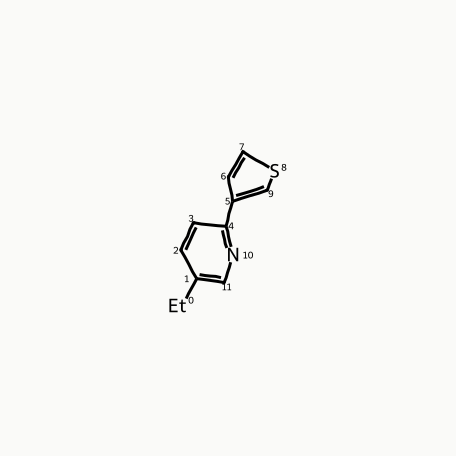 CCc1ccc(-c2ccsc2)nc1